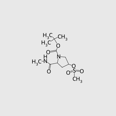 CNC(=O)C1CC(OS(C)(=O)=O)CN1C(=O)OC(C)(C)C